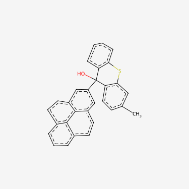 Cc1ccc2c(c1)Sc1ccccc1C2(O)c1cc2ccc3cccc4ccc(c1)c2c34